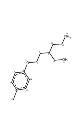 Cc1ccc(OCCC(CO)CCN)cc1